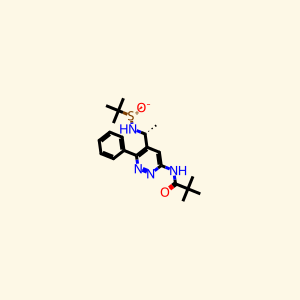 C[C@@H](N[S@@+]([O-])C(C)(C)C)c1cc(NC(=O)C(C)(C)C)nnc1-c1ccccc1